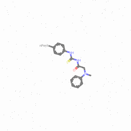 CCCCCc1ccc(NC(=S)NC(=O)CN(C)c2ccccc2)cc1